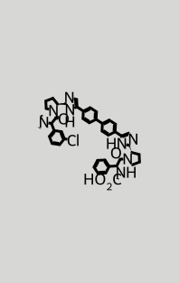 CN(C)C(C(=O)N1CCC[C@H]1c1ncc(-c2ccc(-c3ccc(-c4cnc([C@@H]5CCCN5C(=O)[C@H](NC(=O)O)c5ccccc5)[nH]4)cc3)cc2)[nH]1)c1cccc(Cl)c1